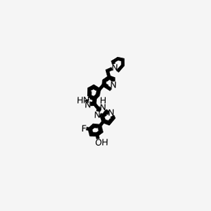 Oc1cc(F)cc(-c2ccnc3[nH]c(-c4n[nH]c5ccc(-c6cncc(CN7CCCCC7)c6)cc45)nc23)c1